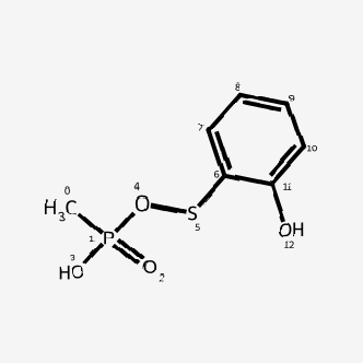 CP(=O)(O)OSc1ccccc1O